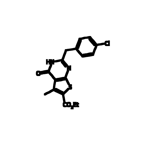 CCOC(=O)c1sc2nc(Cc3ccc(Cl)cc3)[nH]c(=O)c2c1C